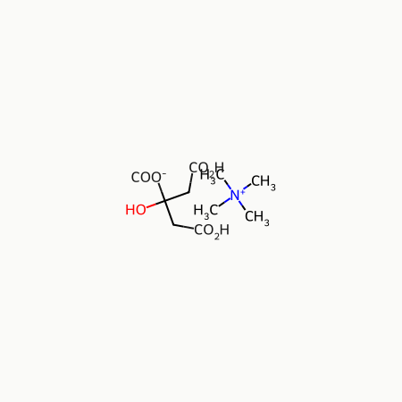 C[N+](C)(C)C.O=C(O)CC(O)(CC(=O)O)C(=O)[O-]